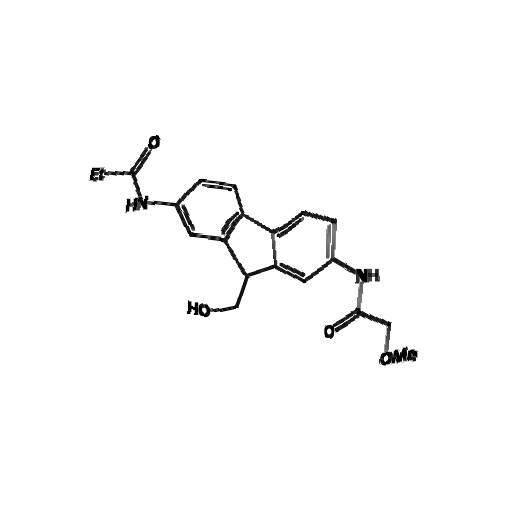 CCC(=O)Nc1ccc2c(c1)C(CO)c1cc(NC(=O)COC)ccc1-2